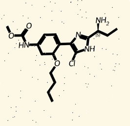 CCCCOC1CC(NC(=O)OC)=CC=C1c1nc([C@@H](N)CC)[nH]c1Cl